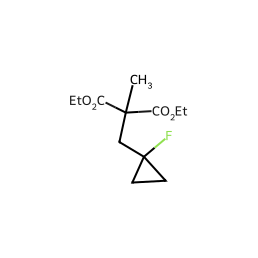 CCOC(=O)C(C)(CC1(F)CC1)C(=O)OCC